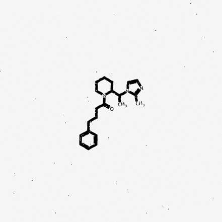 Cc1nccn1C(C)C1CCCCN1C(=O)CCCc1ccccc1